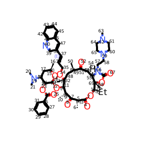 CC[C@H]1OC(=O)[C@H](C)C(=O)[C@H](C)[C@@H](O[C@@H]2O[C@H](C)C[C@H](N(C)C)[C@H]2OC(=O)c2ccccc2)[C@](C)(OC/C=C/c2cnc3ccccc3c2)C[C@@H](C)C(=O)[C@H](C)[C@H]2N(CCN3CCN(C)CC3)C(=O)O[C@]12C